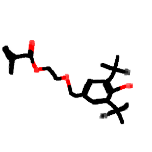 C=C(C)C(=O)OCCOCc1cc(C(C)(C)C(C)C)c(O)c(C(C)(C)C(C)C)c1